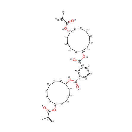 C=C(C)C(=O)OC1CCCCCCC(OC(=O)c2cccc(C(=O)OC3CCCCCCC(OC(=O)C(=C)C)CCCC3)c2)CCCC1